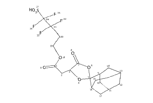 O=C(CC1OC2(OC1=O)C1CC3CC(C1)CC2C3)OCCC(F)(F)C(F)(F)S(=O)(=O)O